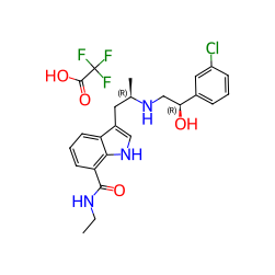 CCNC(=O)c1cccc2c(C[C@@H](C)NC[C@H](O)c3cccc(Cl)c3)c[nH]c12.O=C(O)C(F)(F)F